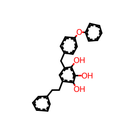 Oc1c(CCc2ccccc2)cc(Cc2ccc(Oc3ccccc3)cc2)c(O)c1O